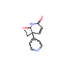 CCC1(c2ccncc2)C=CC(=O)NC1=O